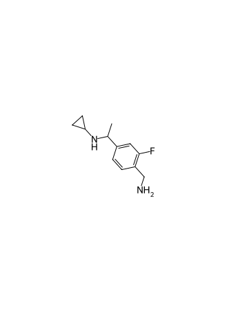 CC(NC1CC1)c1ccc(CN)c(F)c1